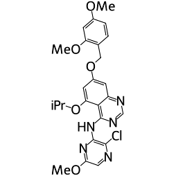 COc1ccc(COc2cc(OC(C)C)c3c(Nc4nc(OC)cnc4Cl)ncnc3c2)c(OC)c1